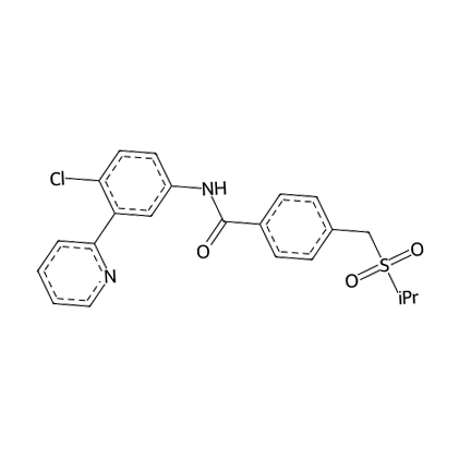 CC(C)S(=O)(=O)Cc1ccc(C(=O)Nc2ccc(Cl)c(-c3ccccn3)c2)cc1